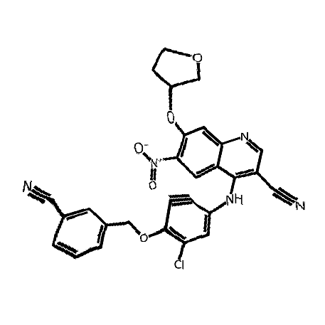 N#Cc1cccc(COc2c#cc(Nc3c(C#N)cnc4cc(OC5CCOC5)c([N+](=O)[O-])cc34)cc2Cl)c1